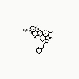 CC(C)C1=C2[C@H]3CC[C@@H]4[C@@]5(C)C(O)CCC(C)(C)[C@@H]5CC[C@@]4(C)[C@]3(C)CC[C@@]2(C(=O)NCc2ccccc2)CC1=O